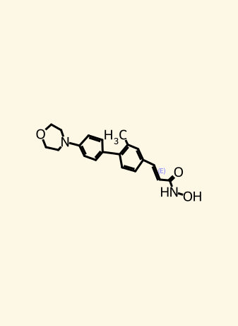 Cc1cc(/C=C/C(=O)NO)ccc1-c1ccc(N2CCOCC2)cc1